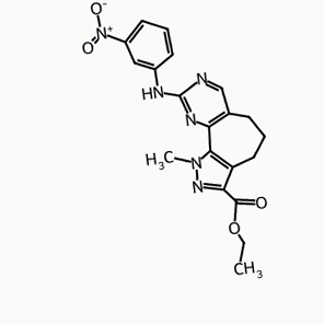 CCOC(=O)c1nn(C)c2c1CCCc1cnc(Nc3cccc([N+](=O)[O-])c3)nc1-2